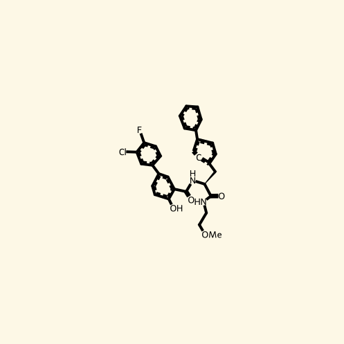 COCCNC(=O)[C@H](Cc1ccc(-c2ccccc2)cc1)NC(=O)c1cc(-c2ccc(F)c(Cl)c2)ccc1O